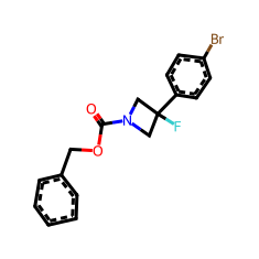 O=C(OCc1ccccc1)N1CC(F)(c2ccc(Br)cc2)C1